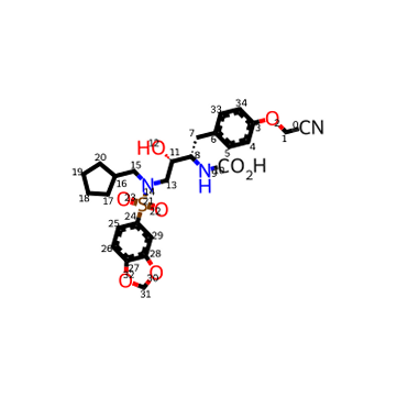 N#CCOc1ccc(C[C@H](NC(=O)O)[C@@H](O)CN(CC2CCCC2)S(=O)(=O)c2ccc3c(c2)OCO3)cc1